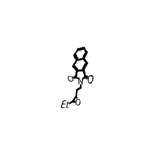 CCC1OC1CCN1C(=O)c2cc3ccccc3cc2C1=O